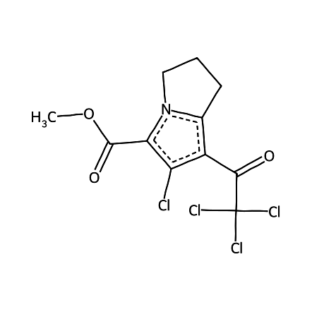 COC(=O)c1c(Cl)c(C(=O)C(Cl)(Cl)Cl)c2n1CCC2